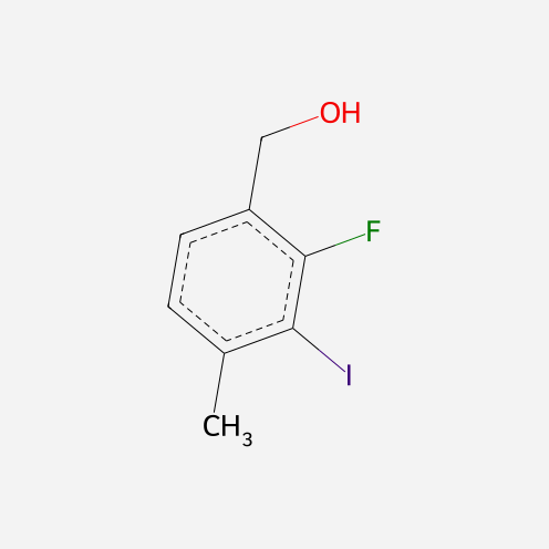 Cc1ccc(CO)c(F)c1I